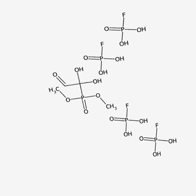 COP(=O)(OC)C(O)(O)C=O.O=P(O)(O)F.O=P(O)(O)F.O=P(O)(O)F.O=P(O)(O)F